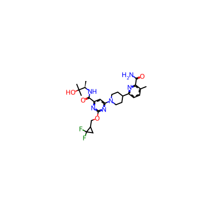 Cc1ccc(C2CCN(c3cc(C(=O)N[C@H](C)C(C)(C)O)nc(OCC4CC4(F)F)n3)CC2)nc1C(N)=O